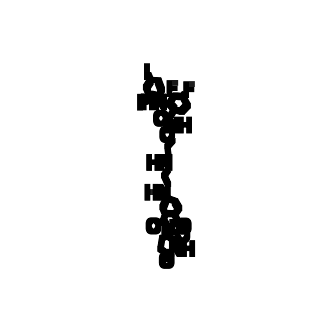 O=C1CCC(N2C(=O)c3ccc(NCCCNCCCONC(=O)c4ccc(F)c(F)c4Nc4ccc(I)cc4F)cc3C2=O)C(=O)N1